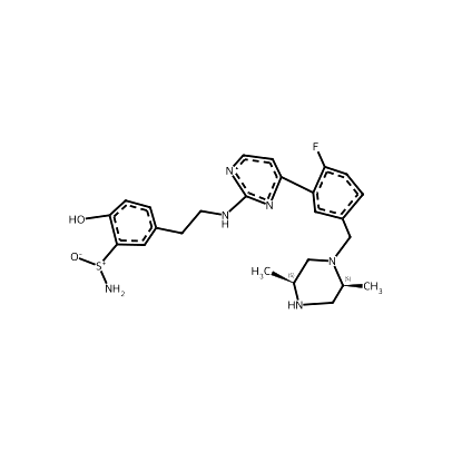 C[C@H]1CN(Cc2ccc(F)c(-c3ccnc(NCCc4ccc(O)c([S+](N)[O-])c4)n3)c2)[C@@H](C)CN1